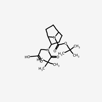 CC(C)(C)OC(=O)N1C2CCC(N(CC(=O)O)C(=O)C(C)(C)C)C1CC2